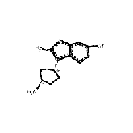 Cc1ccc2c(c1)nc(C)n2[C@@H]1CC[C@@H](N)C1